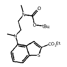 CCOC(=O)c1cc2c(N(C)CCN(C)C(=O)OC(C)(C)C)cccc2s1